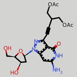 CC(=O)OCC(C#Cc1nn([C@H]2C[C@@H](O)[C@@H](CO)O2)c2cc(N)[nH]c(=O)c12)COC(C)=O